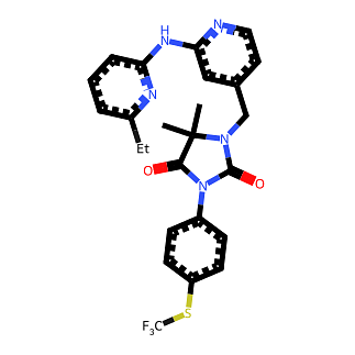 CCc1cccc(Nc2cc(CN3C(=O)N(c4ccc(SC(F)(F)F)cc4)C(=O)C3(C)C)ccn2)n1